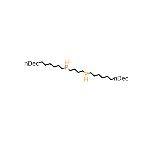 CCCCCCCCCCCCCCCCPCCCCPCCCCCCCCCCCCCCCC